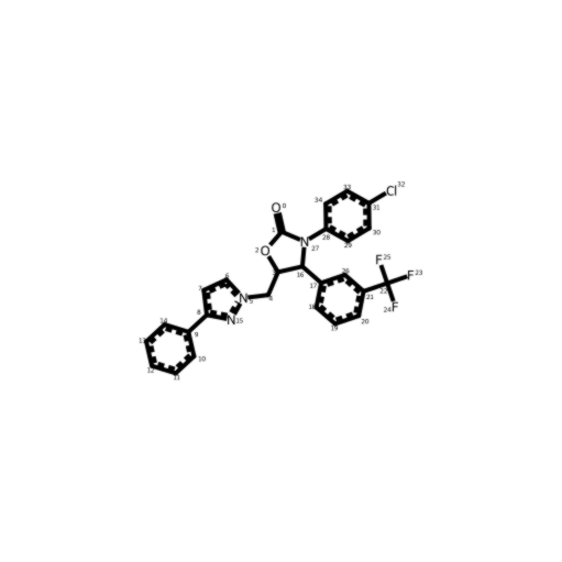 O=C1OC(Cn2ccc(-c3ccccc3)n2)C(c2cccc(C(F)(F)F)c2)N1c1ccc(Cl)cc1